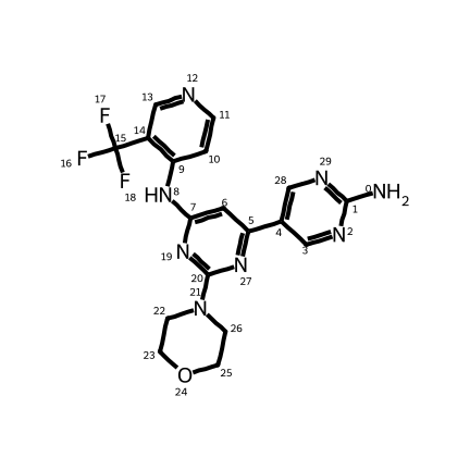 Nc1ncc(-c2cc(Nc3ccncc3C(F)(F)F)nc(N3CCOCC3)n2)cn1